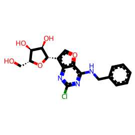 OC[C@H]1O[C@@H](c2coc3c(NCc4ccccc4)nc(Cl)nc23)[C@H](O)[C@@H]1O